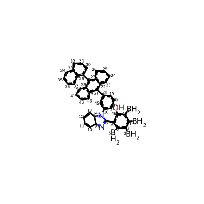 Bc1c(B)c(B)c(C2=NC3C=CC=CC3N2c2cccc(-c3c4ccccc4c(-c4cccc5ccccc45)c4ccccc34)c2)c(O)c1B